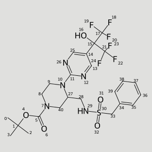 CC(C)(C)OC(=O)N1CCN(c2ncc(C(O)(C(F)(F)F)C(F)(F)F)cn2)C(CNS(=O)(=O)Cc2ccccc2)C1